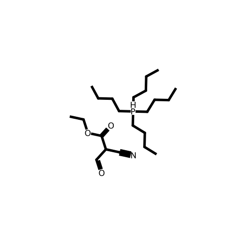 CCCC[PH](CCCC)(CCCC)CCCC.CCOC(=O)C(C#N)C=O